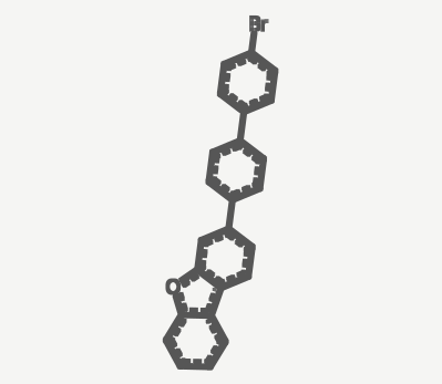 Brc1ccc(-c2ccc(-c3ccc4c(c3)oc3ccccc34)cc2)cc1